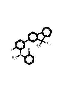 CN(c1ccccc1F)c1cc(-c2ccc3c(c2)C(C)(C)c2ccccc2-3)ccc1F